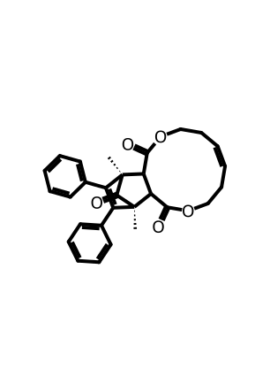 C[C@]12C(=O)[C@](C)(C(c3ccccc3)=C1c1ccccc1)C1C(=O)OCCC=CCCOC(=O)C12